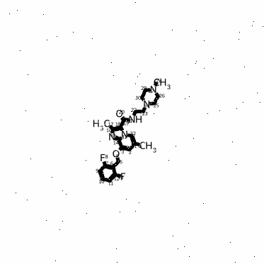 Cc1cc(OCc2c(F)cccc2F)c2nc(C)c(C(=O)NCCN3CCN(C)CC3)n2c1